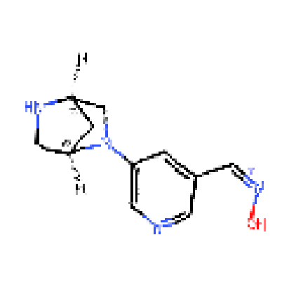 O/N=C\c1cncc(N2C[C@H]3C[C@@H]2CN3)c1